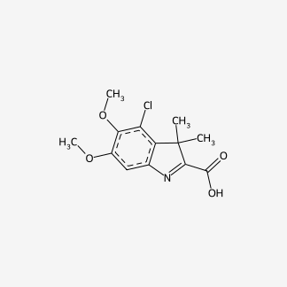 COc1cc2c(c(Cl)c1OC)C(C)(C)C(C(=O)O)=N2